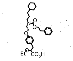 CCOC(Cc1ccc(OCCN(CCCC2CCCCC2)C(=O)OCCc2ccccc2)cc1)C(=O)O